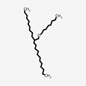 CCCCCCCCCCCCC(CCCCCCCCCC)COCCCCCCCC